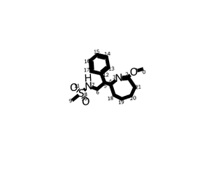 COC1=NC(C(CNS(C)(=O)=O)c2ccccc2)CCCC1